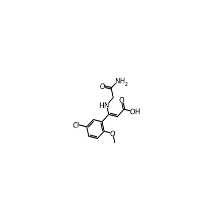 COc1ccc(Cl)cc1C(=CC(=O)O)NCC(N)=O